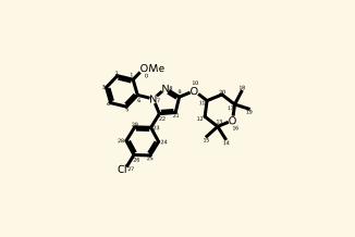 COc1ccccc1-n1nc(OC2CC(C)(C)OC(C)(C)C2)cc1-c1ccc(Cl)cc1